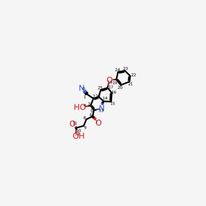 N#Cc1c(O)c(C(=O)CCC(=O)O)nc2ccc(Oc3ccccc3)cc12